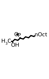 CCCCCCCCCCCCCC(CCC(C)O)P=O